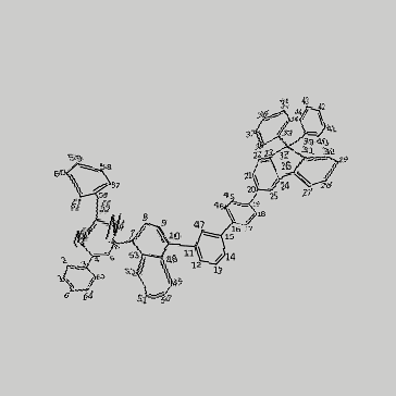 c1ccc(-c2cc(-c3ccc(-c4cccc(-c5ccc(-c6ccc7c(c6)-c6ccccc6C7(c6ccccc6)c6ccccc6)cc5)c4)c4ccccc34)nc(-c3ccccc3)n2)cc1